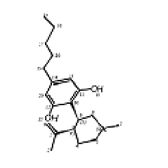 C=C(C)[C@@H]1CC[C@H](C)C[C@@H]1c1c(O)cc(CCCCC)cc1O